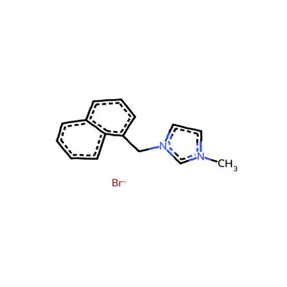 Cn1cc[n+](Cc2cccc3ccccc23)c1.[Br-]